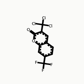 O=c1oc2cc(C(F)(F)F)ccc2cc1C(Cl)(Cl)Cl